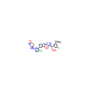 COc1cc(F)cc(C(CO)NC(=O)C(C)N2Cc3ccc(-c4nc(N[C@H]5CCC(=O)N(C)C5)ncc4Cl)cc3C2=O)c1